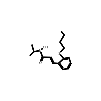 CCCCSc1ccccc1C=CC(=O)N(O)C(C)C